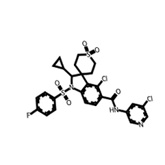 O=C(Nc1cncc(Cl)c1)c1ccc2c(c1Cl)C1(CCS(=O)(=O)CC1)C(C1CC1)N2S(=O)(=O)c1ccc(F)cc1